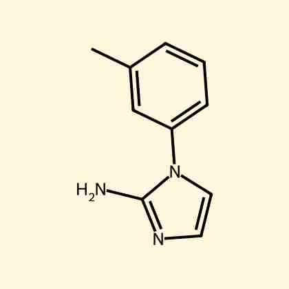 Cc1cccc(-n2ccnc2N)c1